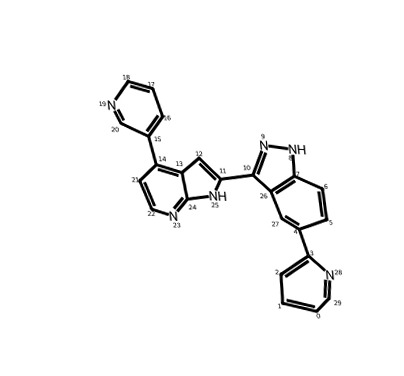 c1ccc(-c2ccc3[nH]nc(-c4cc5c(-c6cccnc6)ccnc5[nH]4)c3c2)nc1